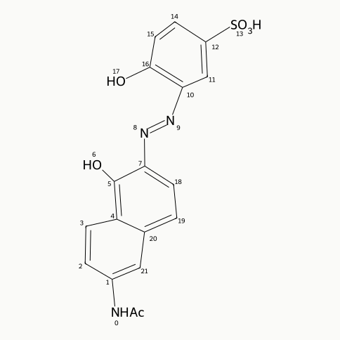 CC(=O)Nc1ccc2c(O)c(N=Nc3cc(S(=O)(=O)O)ccc3O)ccc2c1